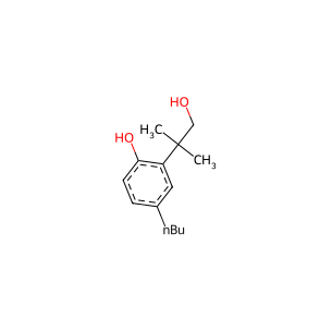 CCCCc1ccc(O)c(C(C)(C)CO)c1